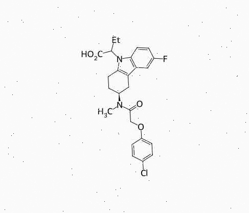 CCC(C(=O)O)n1c2c(c3cc(F)ccc31)C[C@@H](N(C)C(=O)COc1ccc(Cl)cc1)CC2